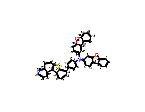 c1ccc2c(c1)oc1cc(N(c3ccc(-c4cccc5c4sc4ccc6ncccc6c45)cc3)c3ccc4oc5ccccc5c4c3)ccc12